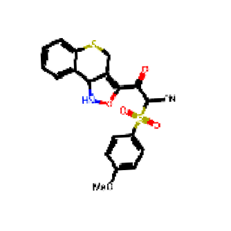 COc1ccc(S(=O)(=O)C(C#N)C(=O)C2=C3CSc4ccccc4C3NO2)cc1